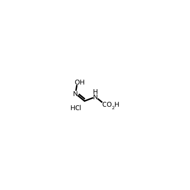 Cl.O=C(O)N/C=N\O